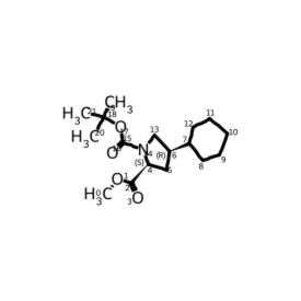 COC(=O)[C@@H]1C[C@H](C2CCCCC2)CN1C(=O)OC(C)(C)C